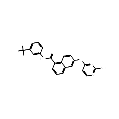 CC(F)(F)c1cccc(NC(=O)c2cccc3cc(Oc4ccnc(N)n4)ccc23)c1